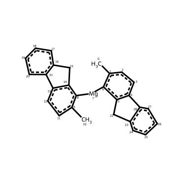 Cc1ccc2c([c]1[Mg][c]1c(C)ccc3c1Cc1ccccc1-3)Cc1ccccc1-2